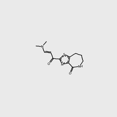 CN(C)C=CC(=O)c1nc2c(s1)CCCNC2=O